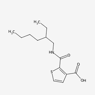 CCCCC(CC)CNC(=O)c1sccc1C(=O)O